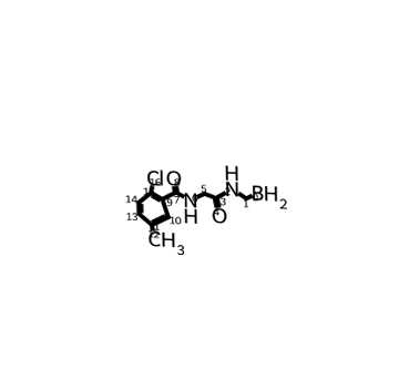 BCNC(=O)CNC(=O)c1cc(C)ccc1Cl